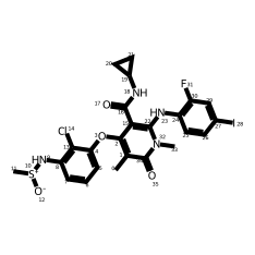 Cc1c(Oc2cccc(N[S+](C)[O-])c2Cl)c(C(=O)NC2CC2)c(Nc2ccc(I)cc2F)n(C)c1=O